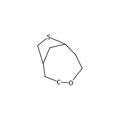 C1CC2CSC(CCO1)C2